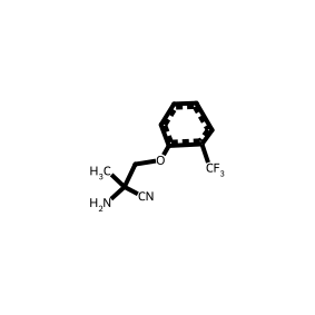 CC(N)(C#N)COc1ccccc1C(F)(F)F